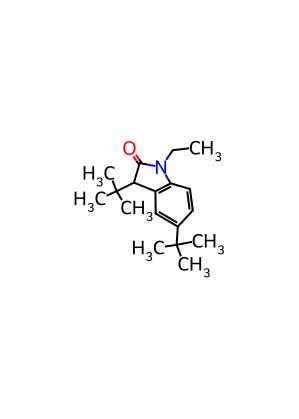 CCN1C(=O)C(C(C)(C)C)c2cc(C(C)(C)C)ccc21